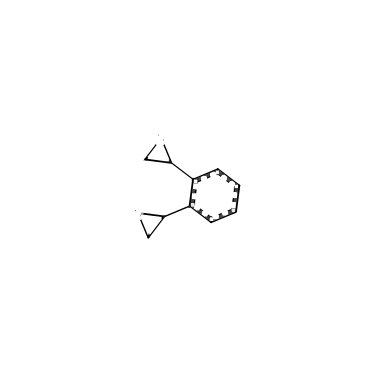 c1ccc(C2C[N]2)c(C2C[N]2)c1